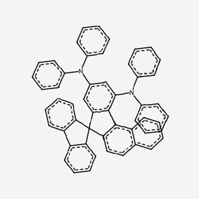 c1ccc(N(c2ccccc2)c2cc(N(c3ccccc3)c3ccccc3)c3c(c2)C2(c4ccccc4-c4ccccc42)c2ccc4ccccc4c2-3)cc1